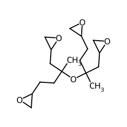 CC(CCC1CO1)(CC1CO1)OC(C)(CCC1CO1)CC1CO1